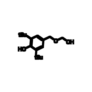 CC(C)(C)c1cc(COCO)cc(C(C)(C)C)c1O